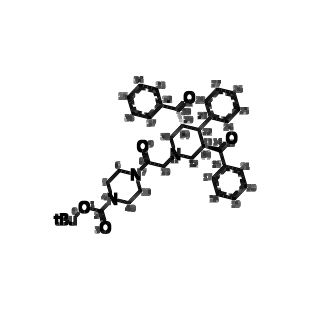 CC(C)(C)OC(=O)N1CCN(C(=O)CN2C[C@H](C(=O)c3ccccc3)C(c3ccccc3)[C@@H](C(=O)c3ccccc3)C2)CC1